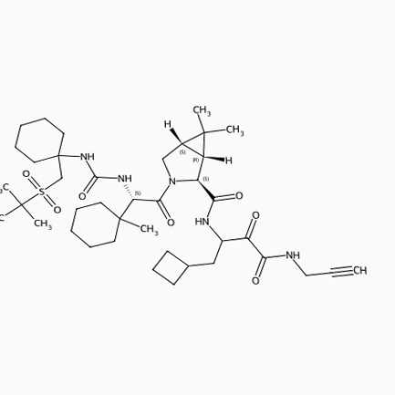 C#CCNC(=O)C(=O)C(CC1CCC1)NC(=O)[C@@H]1[C@@H]2[C@H](CN1C(=O)[C@@H](NC(=O)NC1(CS(=O)(=O)C(C)(C)C)CCCCC1)C1(C)CCCCC1)C2(C)C